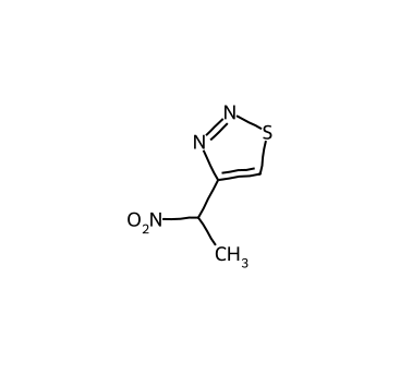 CC(c1csnn1)[N+](=O)[O-]